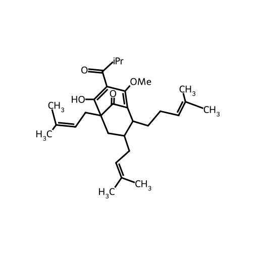 COC1=C2C(=O)C(CC=C(C)C)(CC(CC=C(C)C)C2CCC=C(C)C)C(O)=C1C(=O)C(C)C